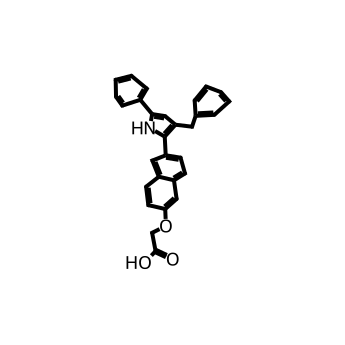 O=C(O)COc1ccc2cc(-c3[nH]c(-c4ccccc4)cc3Cc3ccccc3)ccc2c1